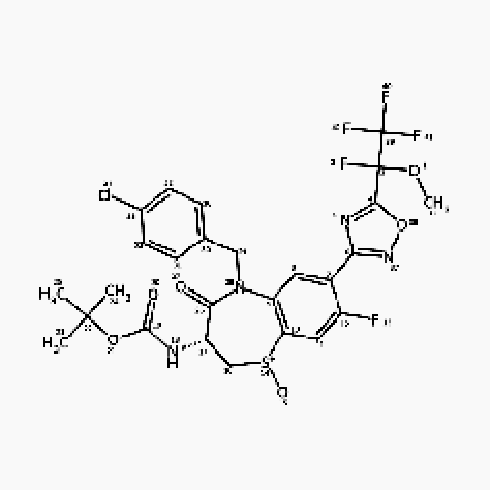 COC(F)(c1nc(-c2cc3c(cc2F)[S+]([O-])C[C@H](NC(=O)OC(C)(C)C)C(=O)N3Cc2ccc(Cl)cc2)no1)C(F)(F)F